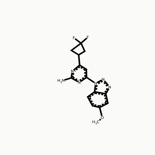 COc1ccc2c(c1)nnn2-c1cc(C2CC(F)(F)C2)nc(N)n1